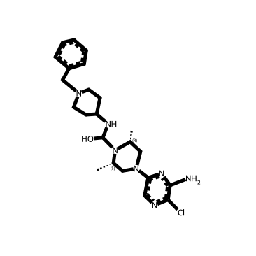 C[C@@H]1CN(c2cnc(Cl)c(N)n2)C[C@H](C)N1C(O)NC1CCN(Cc2ccccc2)CC1